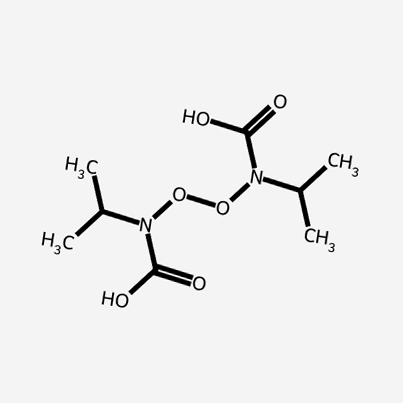 CC(C)N(OON(C(=O)O)C(C)C)C(=O)O